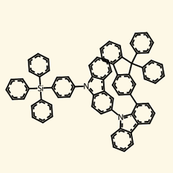 c1ccc(C2(c3ccccc3)c3ccccc3-c3ccc(-c4cccc5c6ccccc6n(-c6ccc7c(c6)c6ccccc6n7-c6ccc([Si](c7ccccc7)(c7ccccc7)c7ccccc7)cc6)c45)cc32)cc1